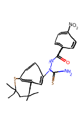 CC1(C)CC(C)(C)c2cc(N(NC(=O)c3ccc([N+](=O)[O-])cc3)C(N)=S)ccc2S1